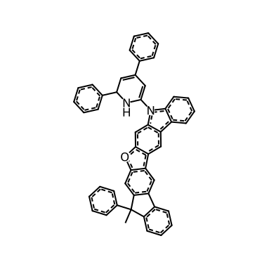 CC1(c2ccccc2)c2ccccc2-c2cc3c(cc21)oc1cc2c(cc13)c1ccccc1n2C1=CC(c2ccccc2)=CC(c2ccccc2)N1